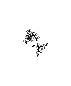 CCC(C(=O)OC(C)=O)C(O)(C(=O)OC(C)=O)C(CC)(CC)C(=O)OC(C)=O.CCOC(=O)CC(O)(CC(=O)OCC)C(=O)OCC